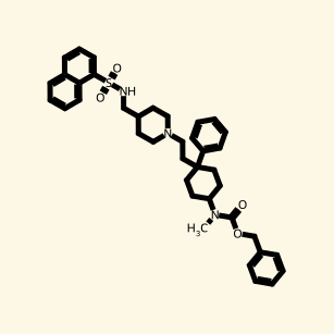 CN(C(=O)OCc1ccccc1)C1CCC(CCN2CCC(CNS(=O)(=O)c3cccc4ccccc34)CC2)(c2ccccc2)CC1